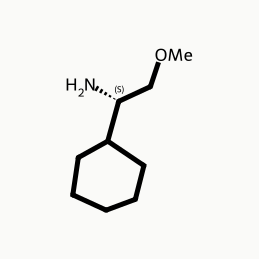 COC[C@@H](N)C1CCCCC1